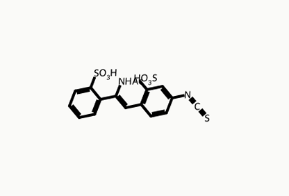 CC(=O)NC(=Cc1ccc(N=C=S)cc1S(=O)(=O)O)c1ccccc1S(=O)(=O)O